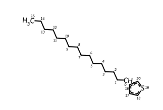 CCCCCCCCCCCCCCCC.c1ccsc1